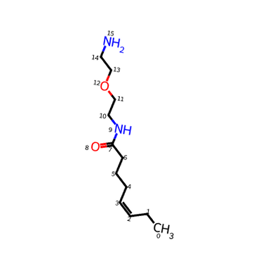 CC/C=C\CCCC(=O)NCCOCCN